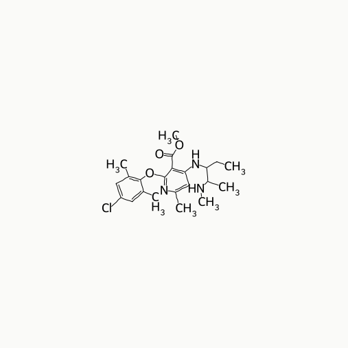 CCC(Nc1cc(C)nc(Oc2c(C)cc(Cl)cc2C)c1C(=O)OC)C(C)NC